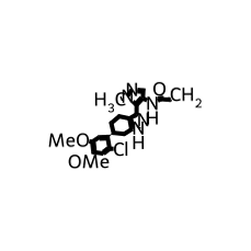 C=CC(=O)Nc1cnn(C)c1-c1n[nH]c2c1CC[C@@H](c1cc(OC)cc(OC)c1Cl)C2